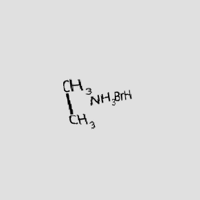 Br.CC.N